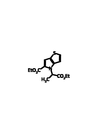 CCOC(=O)c1cc2sccc2n1C(C)C(=O)OCC